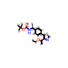 C=C(OCC)c1ncsc1-c1ccc([C@H](C)NC(=O)OC(C)(C)C)cc1